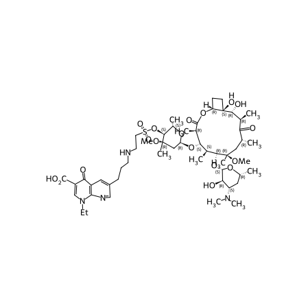 CCn1cc(C(=O)O)c(=O)c2cc(CCCNCCS(=O)(=O)O[C@H]3[C@H](C)O[C@@H](O[C@H]4[C@H](C)[C@@H](O[C@@H]5O[C@H](C)C[C@H](N(C)C)[C@H]5O)[C@](C)(OC)C[C@@H](C)C(=O)[C@H](C)[C@@H](O)[C@@]5(O)CC[C@H]5OC(=O)[C@@H]4C)C[C@@]3(C)OC)cnc21